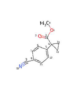 COC(=O)C1(c2ccc(C#N)cc2)CC1